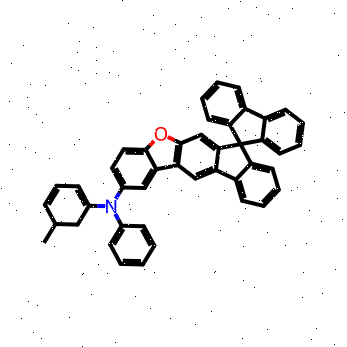 CC1C=CC=C(N(c2ccccc2)c2ccc3oc4cc5c(cc4c3c2)-c2ccccc2C52c3ccccc3-c3ccccc32)C1